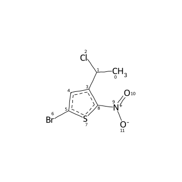 CC(Cl)c1cc(Br)sc1[N+](=O)[O-]